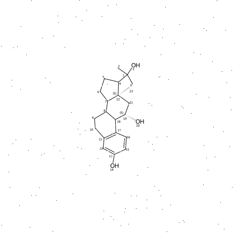 CC(C)(O)C1CCC2C3CCc4cc(O)ccc4C3[C@@H](O)C[C@@]21C